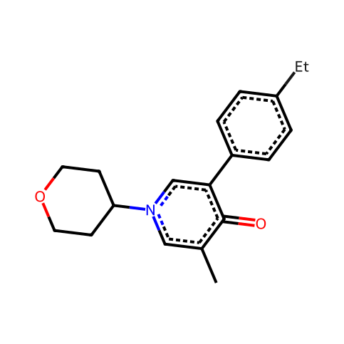 CCc1ccc(-c2cn(C3CCOCC3)cc(C)c2=O)cc1